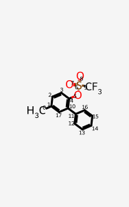 Cc1ccc(OS(=O)(=O)C(F)(F)F)c(-c2ccccc2)c1